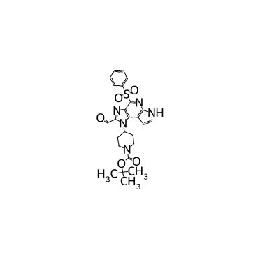 CC(C)(C)OC(=O)N1CCC(n2c(C=O)nc3c(S(=O)(=O)c4ccccc4)nc4[nH]ccc4c32)CC1